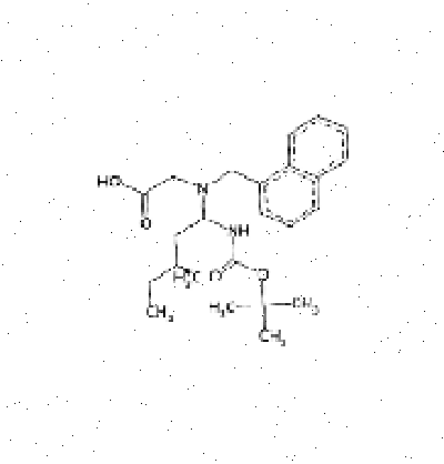 CC[C@H](C)CC(NC(=O)OC(C)(C)C)N(CC(=O)O)Cc1cccc2ccccc12